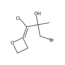 CC(O)(CBr)/C(Cl)=C1\CCO1